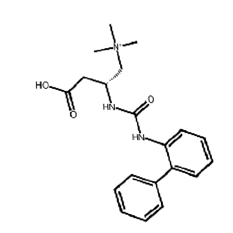 C[N+](C)(C)C[C@@H](CC(=O)O)NC(=O)Nc1ccccc1-c1ccccc1